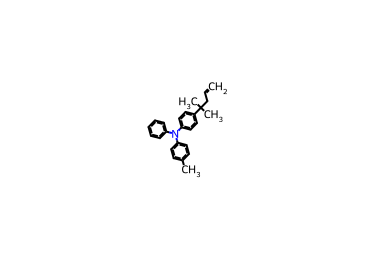 C=CCC(C)(C)c1ccc(N(c2ccccc2)c2ccc(C)cc2)cc1